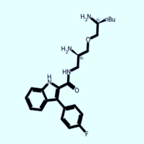 CCCC[C@H](N)COC[C@H](N)CNC(=O)c1[nH]c2ccccc2c1-c1ccc(F)cc1